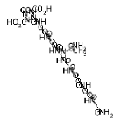 C[C@@H](CCCCNC(=O)[C@H](CCCCNC(=O)CCCC(=O)NCCOCCOCC(=O)NCCOCCOCC(=O)NCCCCCC(N)=O)NC(=O)COCOCCNC(=O)COCCOCCNC(=O)CN1CCN(CC(=O)O)CCN(CC(=O)O)CCN(CC(=O)O)CC1)C(N)=O